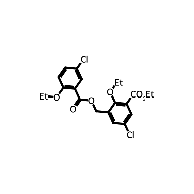 CCOC(=O)c1cc(Cl)cc(COC(=O)c2cc(Cl)ccc2OCC)c1OCC